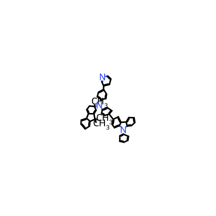 CC1(C)C2=CC(C)(N(c3ccc(-c4cccnc4)cc3)c3ccc(-c4ccc5c(c4)c4ccccc4n5-c4ccccc4)cc3)CC=C2c2ccccc21